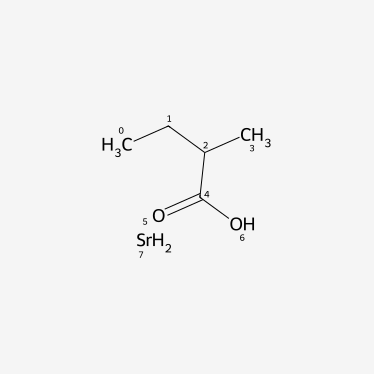 CCC(C)C(=O)O.[SrH2]